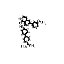 COc1cncc(-c2cc3cc[nH]c(=O)c3c(Nc3ccc(C4CCN(C(C)C)CC4)cc3)n2)c1